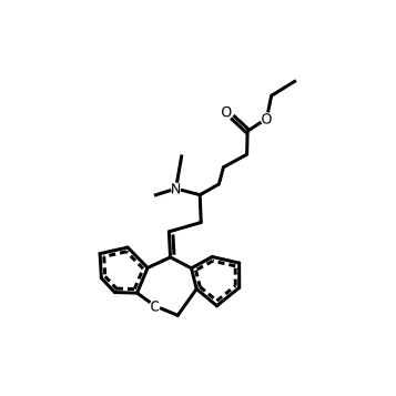 CCOC(=O)CCCC(CC=C1c2ccccc2CCc2ccccc21)N(C)C